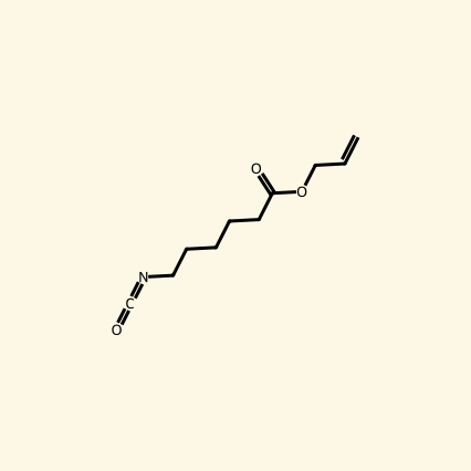 C=CCOC(=O)CCCCCN=C=O